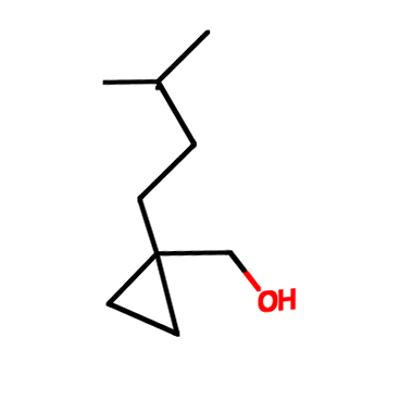 C[C](C)CCC1(CO)CC1